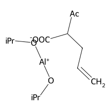 C=CCC(C(C)=O)C(=O)[O-].CC(C)[O][Al+][O]C(C)C